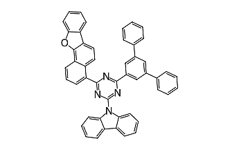 c1ccc(-c2cc(-c3ccccc3)cc(-c3nc(-c4cccc5c4ccc4c6ccccc6oc54)nc(-n4c5ccccc5c5ccccc54)n3)c2)cc1